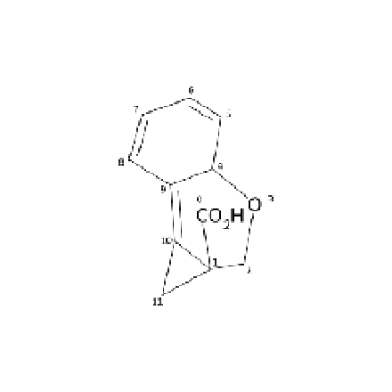 O=C(O)C12COC3C=CC=CC3=C1C2